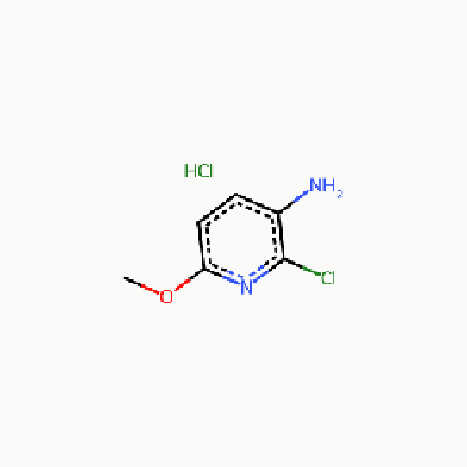 COc1ccc(N)c(Cl)n1.Cl